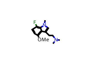 COc1ccc(F)c2c1c(CCN(C)C)cn2C